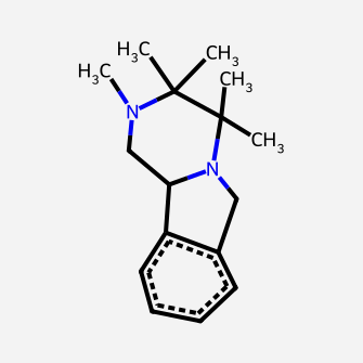 CN1CC2c3ccccc3CN2C(C)(C)C1(C)C